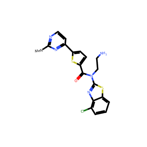 CNc1nccc(-c2ccc(C(=O)N(CCN)c3nc4c(Cl)cccc4s3)s2)n1